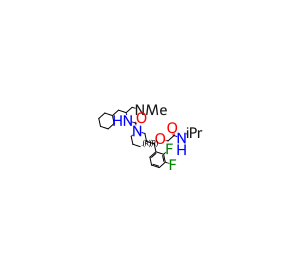 CNCC(CC1CCCCC1)NC(=O)N1CCC[C@@H]([C@@H](OCC(=O)NC(C)C)c2cccc(F)c2F)C1